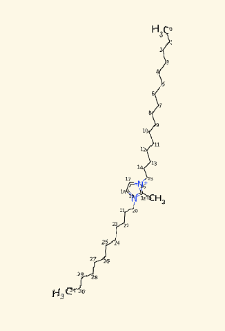 CCCCCCCCCCCCCCCC[n+]1ccn(CCCCCCCCCCCC)c1C